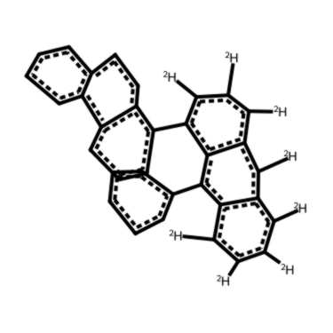 [2H]c1c([2H])c([2H])c2c(-c3ccccc3)c3c(-c4cccc5c4ccc4ccccc45)c([2H])c([2H])c([2H])c3c([2H])c2c1[2H]